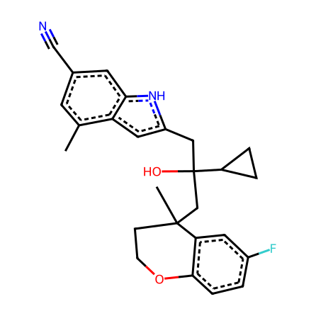 Cc1cc(C#N)cc2[nH]c(CC(O)(CC3(C)CCOc4ccc(F)cc43)C3CC3)cc12